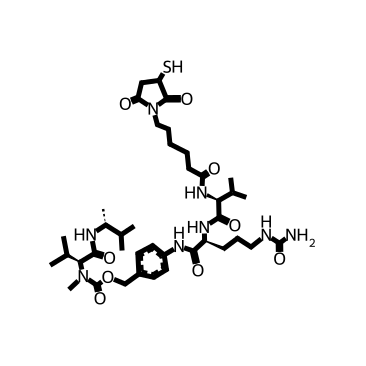 CC(C)[C@H](NC(=O)CCCCCN1C(=O)CC(S)C1=O)C(=O)N[C@@H](CCCNC(N)=O)C(=O)Nc1ccc(COC(=O)N(C)[C@H](C(=O)N[C@H](C)C(C)C)C(C)C)cc1